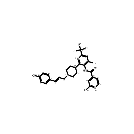 O=C(Nc1c(F)cc(C(F)(F)F)nc1C1CCN(C/C=C/c2ccc(Cl)cc2)CC1)c1ccnc(Cl)c1